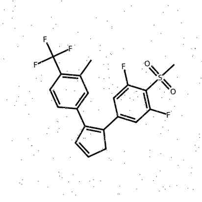 Cc1cc(C2=C(c3cc(F)c(S(C)(=O)=O)c(F)c3)CC=C2)ccc1C(F)(F)F